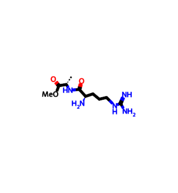 COC(=O)[C@H](C)NC(=O)[C@@H](N)CCCNC(=N)N